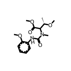 COC(=O)C([C@H](C)OC)N(C)C(=O)Nc1ccccc1OC